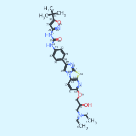 CCN(CC)CC(O)COc1ccc2c(n1)sc1nc(-c3ccc(NC(=O)Nc4cc(C(C)(C)C)on4)cc3)cn12